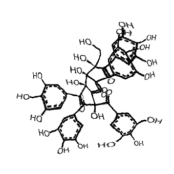 O=C(c1cc(O)c(O)c(O)c1)C(O)(C(=O)c1cc(O)c(O)c(O)c1)C(=O)[C@](O)(C(=O)c1cc(O)c(O)c(O)c1)[C@@](O)(C(=O)c1cc(O)c(O)c(O)c1)[C@](O)(CO)C(=O)c1cc(O)c(O)c(O)c1